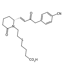 N#Cc1ccc(CC(=O)/C=C/[C@H]2CCCC(=O)N2CCSCCCC(=O)O)cc1